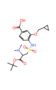 CN(C)C(CS(=O)(=O)Nc1ccc(C(=O)O)cc1OCC1CC1)C(=O)OC(C)(C)C